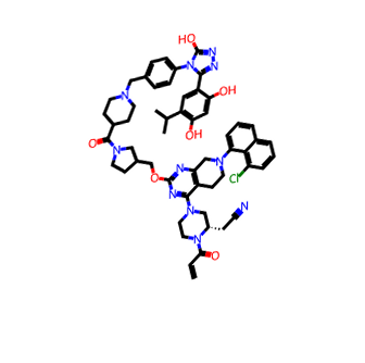 C=CC(=O)N1CCN(c2nc(OCC3CCN(C(=O)C4CCN(Cc5ccc(-n6c(O)nnc6-c6cc(C(C)C)c(O)cc6O)cc5)CC4)C3)nc3c2CCN(c2cccc4cccc(Cl)c24)C3)C[C@@H]1CC#N